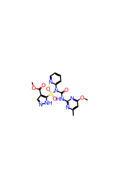 COC(=O)c1cn[nH]c1S(=O)(=O)N(C(=O)Nc1nc(C)cc(OC)n1)c1ccccn1